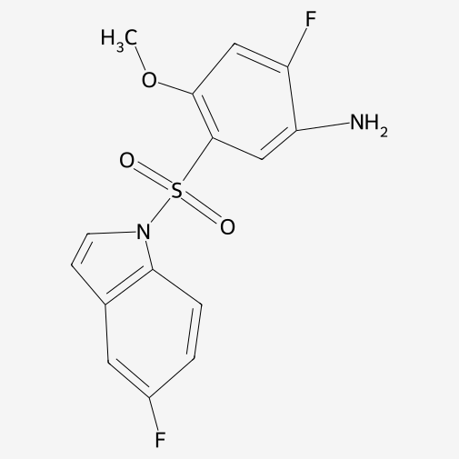 COc1cc(F)c(N)cc1S(=O)(=O)n1ccc2cc(F)ccc21